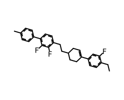 CCc1ccc(C2=CCC(CCc3ccc(-c4ccc(C)cc4)c(F)c3F)CC2)cc1F